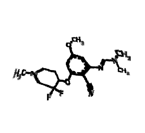 COc1cc(/N=C/N(C)C)c(C#N)c(OC2CCN(C)CC2(F)F)c1